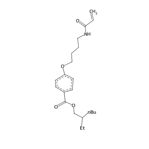 C=CC(=O)NCCCCOc1ccc(C(=O)OCC(CC)CCCC)cc1